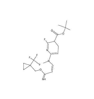 CN(/C=C\C(=N)OCC1(C(F)(F)F)CC1)C1=CCC(C(=O)OC(C)(C)C)C(F)=N1